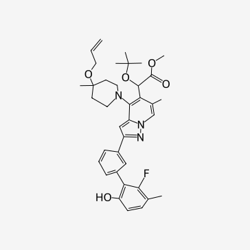 C=CCOC1(C)CCN(c2c(C(OC(C)(C)C)C(=O)OC)c(C)cn3nc(-c4cccc(-c5c(O)ccc(C)c5F)c4)cc23)CC1